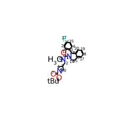 CN(CC1CN(C(=O)OC(C)(C)C)C1)C(=O)N1CCc2ccccc2C1c1ccc(F)cc1